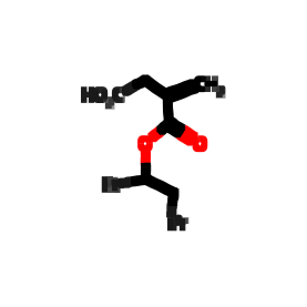 C=C(CC(=O)O)C(=O)OC(CC)CC(C)C